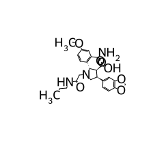 CCCNC(=O)CN1C[C@H](c2ccc3c(c2)OCO3)[C@H](C(=O)O)[C@H]1c1ccc(OC)cc1C(N)=O